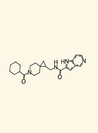 O=C(NCC1CC12CCN(C(=O)C1CCCCC1)CC2)c1cc2cnccc2[nH]1